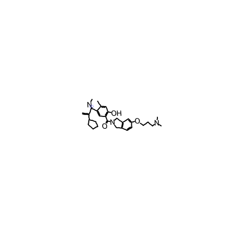 C=C(/C(=N/C)c1cc(C(=O)N2Cc3ccc(OCCCN(C)C)cc3C2)c(O)cc1C)C1CCCC1